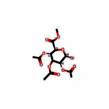 COC(=O)[C@H]1O[C@@H](Br)[C@H](OC(C)=O)C(OC(C)=O)[C@@H]1OC(C)=O